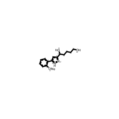 COc1ccccc1-c1cc(C(O)CCCCO)n[nH]1